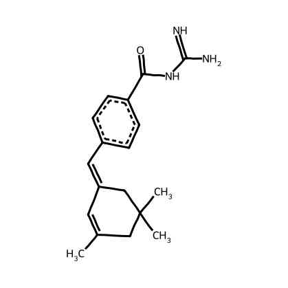 CC1=CC(=Cc2ccc(C(=O)NC(=N)N)cc2)CC(C)(C)C1